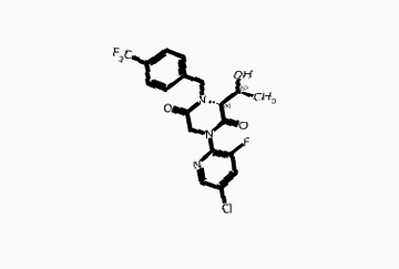 C[C@H](O)[C@@H]1C(=O)N(c2ncc(Cl)cc2F)CC(=O)N1Cc1ccc(C(F)(F)F)cc1